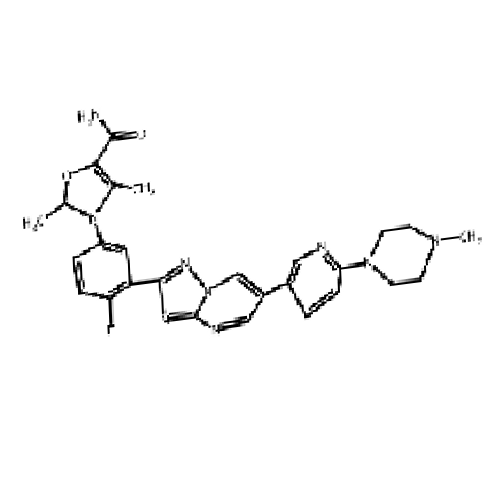 CC1=C(C(N)=O)OC(C)N1c1ccc(F)c(-c2nc3ncc(-c4ccc(N5CCN(C)CC5)nc4)cn3n2)c1